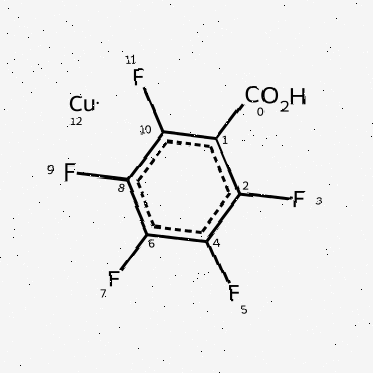 O=C(O)c1c(F)c(F)c(F)c(F)c1F.[Cu]